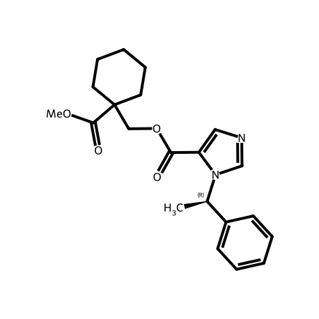 COC(=O)C1(COC(=O)c2cncn2[C@H](C)c2ccccc2)CCCCC1